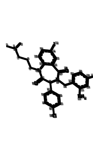 CN(C)CCCN1C(=O)C(c2ccc(Cl)cc2)N(Cc2ccc(Cl)cc2N)C(=O)c2cc(I)ccc21